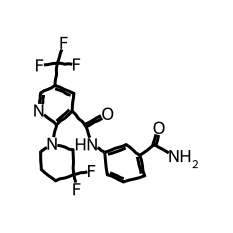 NC(=O)c1cccc(NC(=O)c2cc(C(F)(F)F)cnc2N2CCCC(F)(F)C2)c1